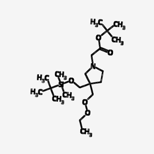 CCOOCC1(CO[Si](C)(C)C(C)(C)C)CCN(CC(=O)OC(C)(C)C)C1